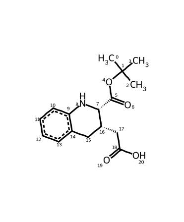 CC(C)(C)OC(=O)[C@H]1Nc2ccccc2C[C@H]1CC(=O)O